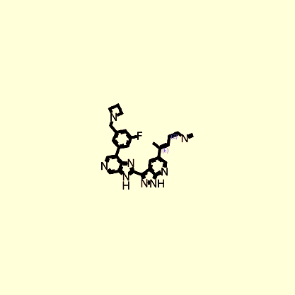 C=N/C=C\C=C(/C)c1cnc2[nH]nc(-c3nc4c(-c5cc(F)cc(CN6CCC6)c5)cncc4[nH]3)c2c1